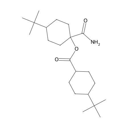 CC(C)(C)C1CCC(C(=O)OC2(C(N)=O)CCC(C(C)(C)C)CC2)CC1